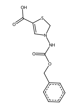 O=C(NN1C=C(C(=O)O)SC1)OCc1ccccc1